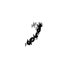 N/N=C\N(N)c1ccc(OCc2csc(C3CCN(c4ncc(F)cn4)CC3)n2)cc1